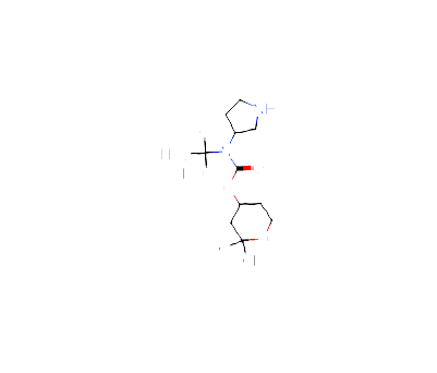 CC1(C)CC(OC(=O)N(C2CCNC2)C(C)(C)C)CCO1